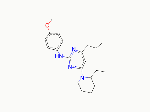 CCCc1cc(N2CCCCC2CC)nc(Nc2ccc(OC)cc2)n1